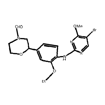 CCOc1cc(C2CN(C=O)CCO2)ccc1Nc1ncc(Br)c(OC)n1